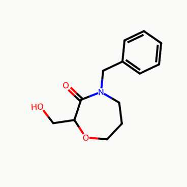 O=C1C(CO)OCCCN1Cc1ccccc1